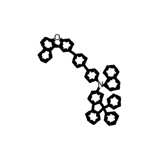 c1ccc(C2(c3ccccc3)c3ccccc3-c3ccc(N(c4ccc(-c5ccc(-c6ccc7oc8ccc9ccccc9c8c7c6)cc5)cc4)c4cccc5ccccc45)cc32)cc1